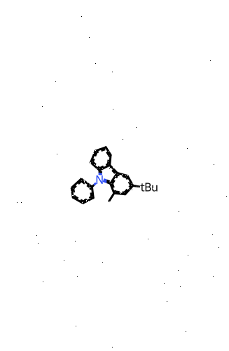 Cc1cc(C(C)(C)C)cc2c3ccccc3n(-c3ccccc3)c12